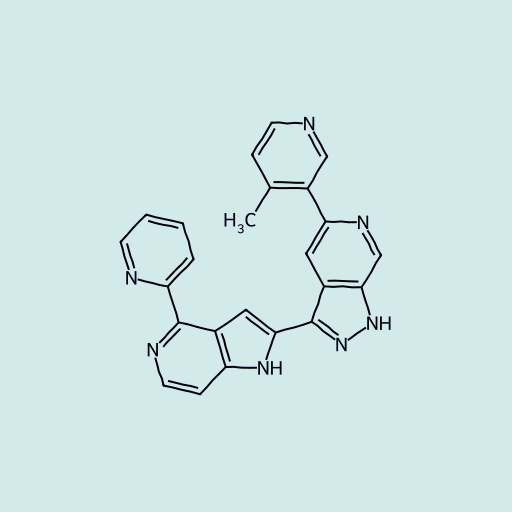 Cc1ccncc1-c1cc2c(-c3cc4c(-c5ccccn5)nccc4[nH]3)n[nH]c2cn1